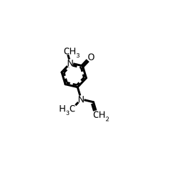 C=CN(C)c1ccn(C)c(=O)c1